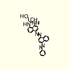 CC1(CCO)Nc2cccc3c(/N=N/c4ccc(/N=N/c5ccccc5)c5ccccc45)ccc(c23)N1